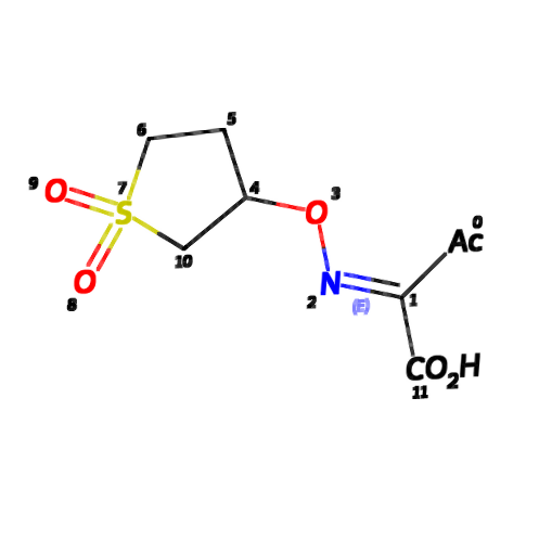 CC(=O)/C(=N\OC1CCS(=O)(=O)C1)C(=O)O